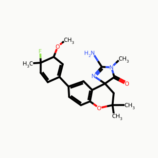 COC1C=C(c2ccc3c(c2)C2(CC(C)(C)O3)N=C(N)N(C)C2=O)C=CC1(C)F